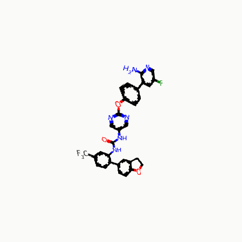 Nc1ncc(F)cc1-c1ccc(Oc2ncc(NC(=O)Nc3cc(C(F)(F)F)ccc3-c3ccc4c(c3)CCO4)cn2)cc1